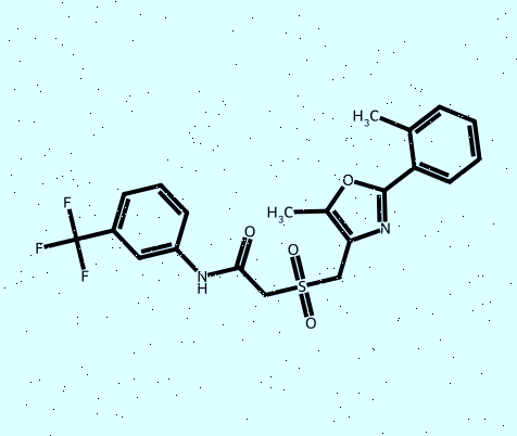 Cc1ccccc1-c1nc(CS(=O)(=O)CC(=O)Nc2cccc(C(F)(F)F)c2)c(C)o1